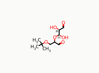 CC(C)(C)OCC(C=O)O[C@H](O)[C@@H](O)C=O